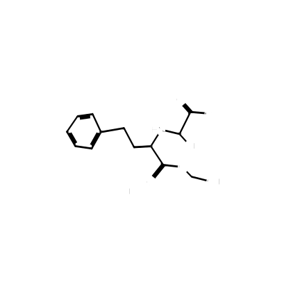 CCOC(=O)C(CCc1ccccc1)NC(C)C(=O)O.Cl